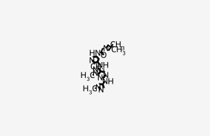 Cc1ncc(NC(=O)CN2CC(C)(C)C2)cc1Nc1nn(C)c2nc(Nc3cnn(C)c3)ncc12